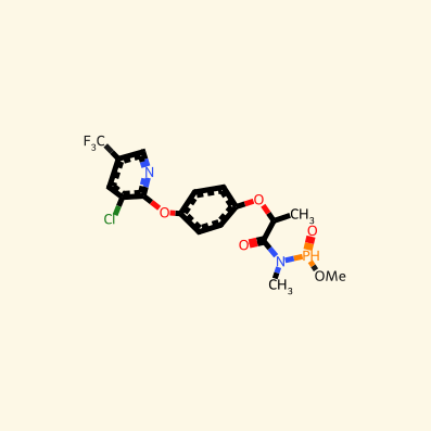 CO[PH](=O)N(C)C(=O)C(C)Oc1ccc(Oc2ncc(C(F)(F)F)cc2Cl)cc1